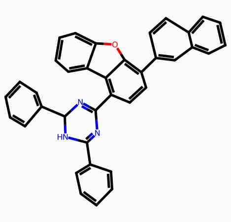 c1ccc(C2=NC(c3ccc(-c4ccc5ccccc5c4)c4oc5ccccc5c34)=NC(c3ccccc3)N2)cc1